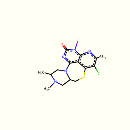 Cc1nc2c3c(nc(=O)n2I)N2CC(C)N(C)CC2CSc3c1Cl